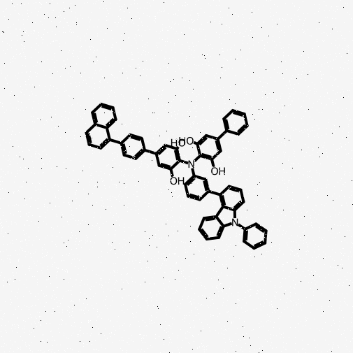 Oc1cc(-c2ccccc2)cc(O)c1N(c1cccc(-c2cccc3c2c2ccccc2n3-c2ccccc2)c1)c1c(O)cc(-c2ccc(-c3cccc4ccccc34)cc2)cc1O